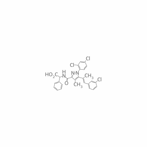 CC(=Cc1cccc(Cl)c1)c1c(C)c(C(=O)NC(C(=O)O)c2ccccc2)nn1-c1ccc(Cl)cc1Cl